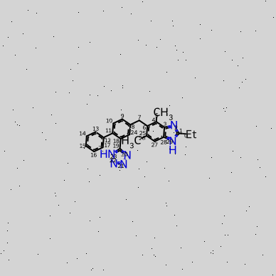 CCc1nc2c(C)c(Cc3ccc(-c4ccccc4)c(-c4nnn[nH]4)c3)c(C)cc2[nH]1